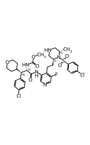 COC(=O)N[C@H](C(=O)Nc1cncc(F)c1CC[C@H]1CNC[C@H](C)N1S(=O)(=O)c1ccc(Cl)cc1)[C@@H](c1ccc(Cl)cc1)C1CCOCC1